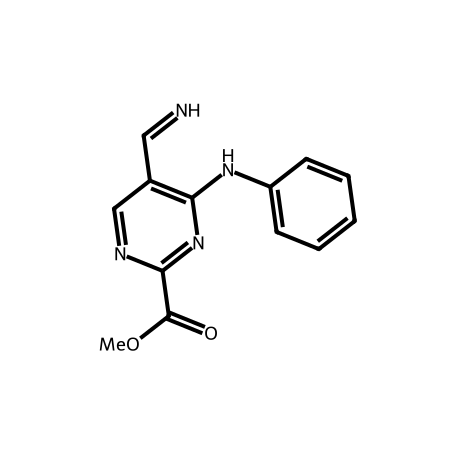 COC(=O)c1ncc(C=N)c(Nc2ccccc2)n1